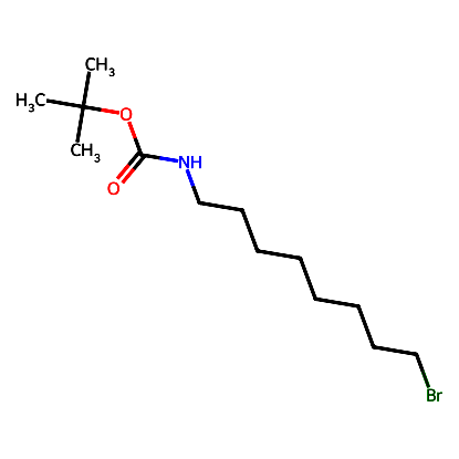 CC(C)(C)OC(=O)NCCCCCCCCBr